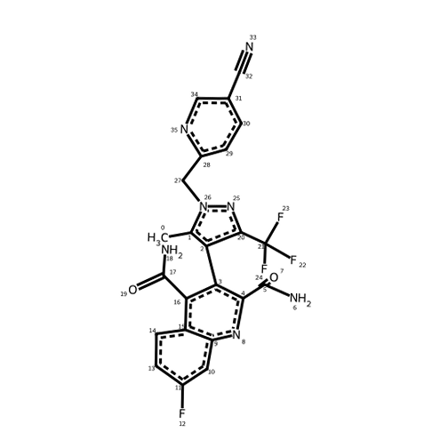 Cc1c(-c2c(C(N)=O)nc3cc(F)ccc3c2C(N)=O)c(C(F)(F)F)nn1Cc1ccc(C#N)cn1